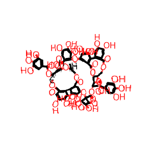 C[C@H]1COC(=O)c2cc3c4c(O)c2-c2c(cc(O)c(O)c2O)C(=O)OC[C@@H](OC(=O)c2cc(O)c(O)c(O)c2)C(OC(=O)c2cc(O)c(O)c(O)c2Oc2cc5c(c(O)c2O)-c2c(cc(O)c(O)c2O)C(=O)OCC2OC(O)C(OC(=O)C6(O3)C(=O)C(O)(O)C6(O)O4)C(OC(=O)c3cc(O)c(O)c(O)c3)C2OC5=O)[C@@H](O)O1